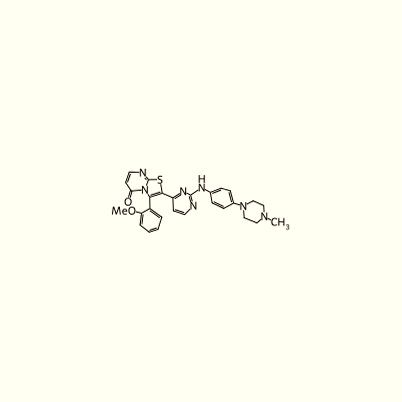 COc1ccccc1-c1c(-c2ccnc(Nc3ccc(N4CCN(C)CC4)cc3)n2)sc2nccc(=O)n12